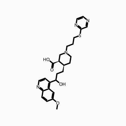 COc1ccc2nccc(C(O)CC[C@@H]3CCN(CCCSc4cnccn4)C[C@@H]3C(=O)O)c2c1